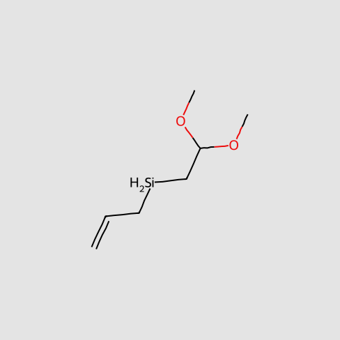 C=CC[SiH2]CC(OC)OC